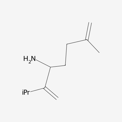 C=C(C)CCC(N)C(=C)C(C)C